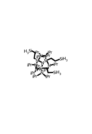 CC(C)N(C(C)C)[Si](CC[SiH3])(N(C(C)C)C(C)C)N([Si](CC[SiH3])(N(C(C)C)C(C)C)N(C(C)C)C(C)C)[Si](CC[SiH3])(N(C(C)C)C(C)C)N(C(C)C)C(C)C